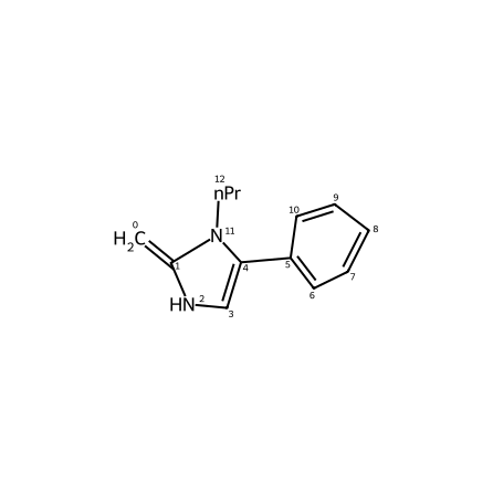 C=C1NC=C(c2ccccc2)N1CCC